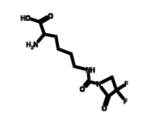 NC(CCCCNC(=O)N1CC(F)(F)C1=O)C(=O)O